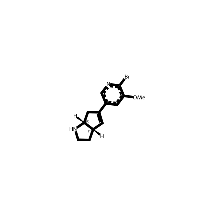 COc1cc(C2=C[C@@H]3CCN[C@@H]3C2)cnc1Br